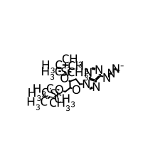 CC(C)(C)[Si](C)(C)OCC1OC(n2cnc3c(N=[N+]=[N-])ncnc32)CC1O[Si](C)(C)C(C)(C)C